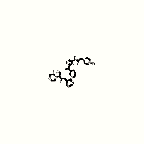 C=CC(C(F)/C=C1\CN=CN=C1N1CCCC(C(I)c2ncc(NC(=O)CN3CCN(CC)CC3)s2)C1)N1CCOCC1